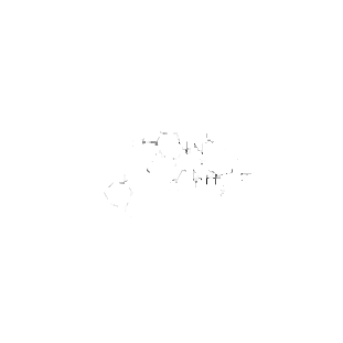 CN1C(=O)c2c(OCc3ccccc3)c(=O)ccn2N(C)C12CC[C@@H]1C[C@@H]12